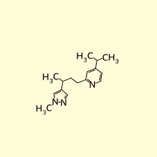 CC(C)c1ccnc(CCC(C)c2cnn(C)c2)c1